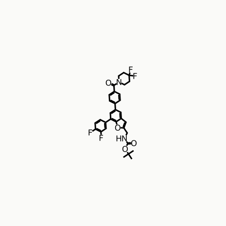 CC(C)(C)OC(=O)NCc1cc2cc(-c3ccc(C(=O)N4CCC(F)(F)CC4)cc3)cc(-c3ccc(F)c(F)c3)c2o1